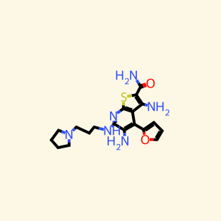 NC(=O)c1sc2nc(NCCCN3CCCC3)c(N)c(-c3ccco3)c2c1N